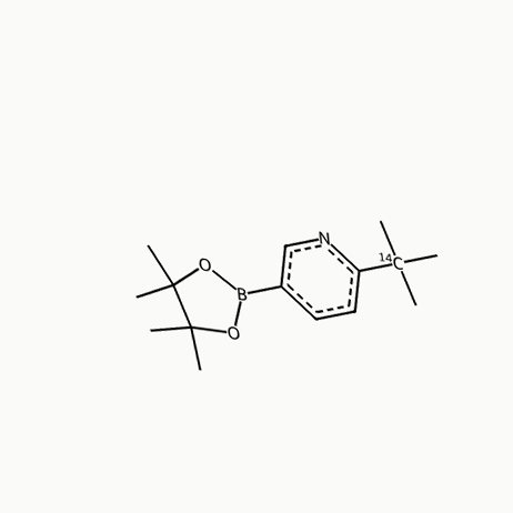 CC1(C)OB(c2ccc([14C](C)(C)C)nc2)OC1(C)C